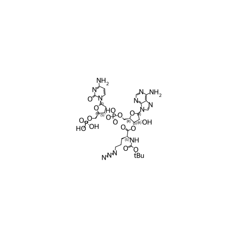 CC(C)(C)OC(=O)N[C@@H](CCCN=[N+]=[N-])C(=O)O[C@H]1[C@@H](O)[C@H](n2cnc3c(N)ncnc32)O[C@@H]1COP(=O)(O)O[C@H]1C[C@H](n2ccc(N)nc2=O)O[C@@H]1COP(=O)(O)O